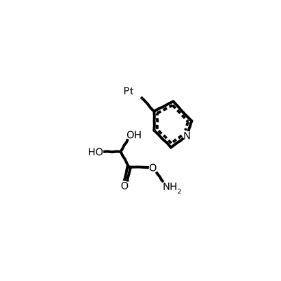 Cc1ccncc1.NOC(=O)C(O)O.[Pt]